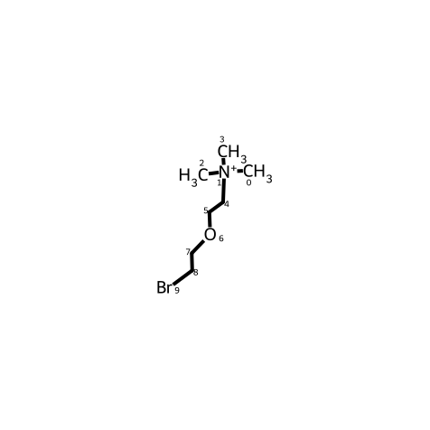 C[N+](C)(C)CCOCCBr